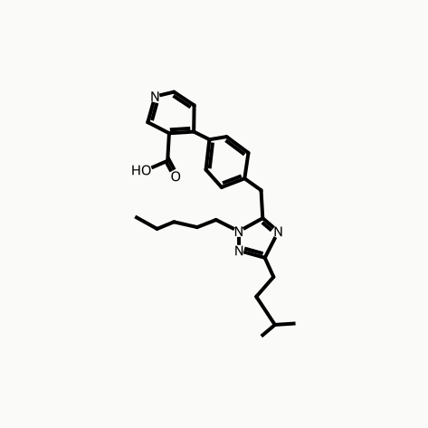 CCCCCn1nc(CCC(C)C)nc1Cc1ccc(-c2ccncc2C(=O)O)cc1